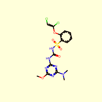 COc1nc(NC(=O)NS(=O)(=O)c2ccccc2OC(Cl)=CCl)nc(N(C)C)n1